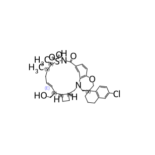 C[C@@H]1[C@@H](C)C/C=C/[C@H](CO)[C@@H]2CC[C@H]2CN2C[C@@]3(CCCc4cc(Cl)ccc43)COc3ccc(cc32)C(=O)NS1(=O)=O